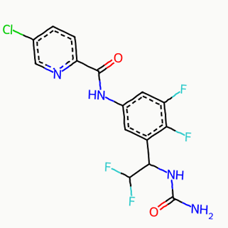 NC(=O)NC(c1cc(NC(=O)c2ccc(Cl)cn2)cc(F)c1F)C(F)F